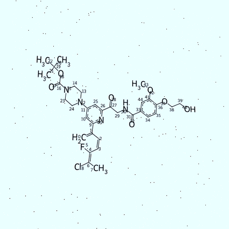 C=C(/C=C\C(F)=C(/C)Cl)c1cc(N2CCN(C(=O)OC(C)(C)C)CC2)cc(C(=O)CNC(=O)c2ccc(OCCO)c(OC)c2)n1